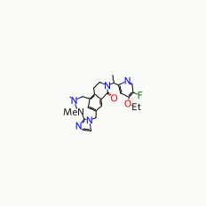 CCOc1cc(C(C)N2CCc3c(CN(C)C)cc(Cn4ccnc4NC)cc3C2=O)ncc1F